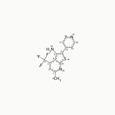 Cc1cc(C(F)(F)F)c2c(N)c(-c3ccncc3)sc2n1